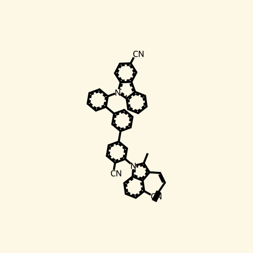 C#C/C=C\c1c(C)n(-c2cc(-c3cccc(-c4ccccc4-n4c5ccccc5c5cc(C#N)ccc54)c3)ccc2C#N)c2cccc(C#N)c12